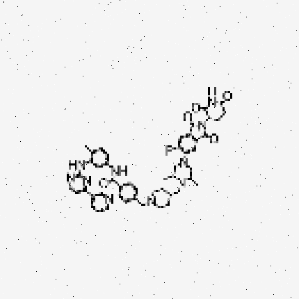 Cc1ccc(NC(=O)c2ccc(CN3CCC(CN4C(C)CN(c5cc6c(cc5F)C(=O)N(C5CCC(=O)NC5=O)C6=O)CC4C)CC3)cc2)cc1Nc1nccc(-c2cccnc2)n1